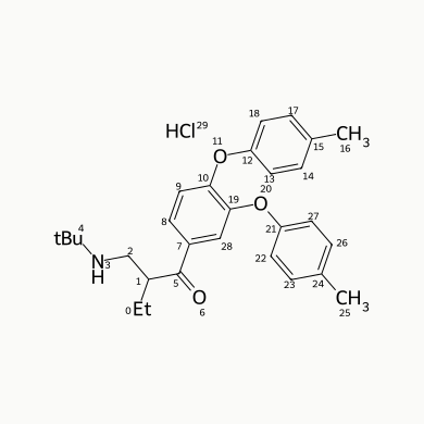 CCC(CNC(C)(C)C)C(=O)c1ccc(Oc2ccc(C)cc2)c(Oc2ccc(C)cc2)c1.Cl